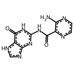 Nc1nccnc1C(=O)Nc1nc2nc[nH]c2c(=O)[nH]1